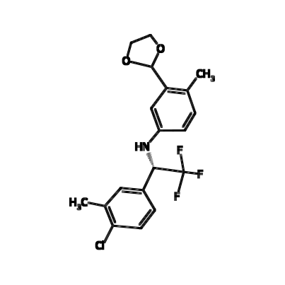 Cc1cc([C@H](Nc2ccc(C)c(C3OCCO3)c2)C(F)(F)F)ccc1Cl